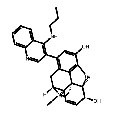 CCCNc1c(-c2cc(O)c3c4c2C[C@@H]2[C@@H]5C=C[C@H](O)[C@H](O3)[C@]45CCN2C)cnc2ccccc12